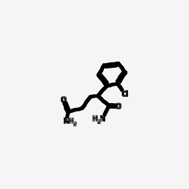 NC(=O)CCC(C(N)=O)c1ccccc1Cl